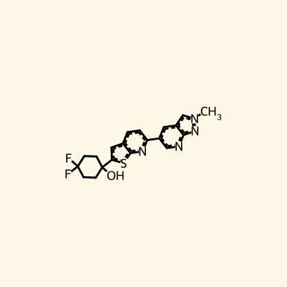 Cn1cc2cc(-c3ccc4cc(C5(O)CCC(F)(F)CC5)sc4n3)cnc2n1